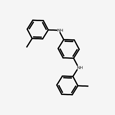 Cc1cccc(Nc2ccc(Nc3ccccc3C)cc2)c1